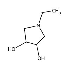 C[CH]N1CC(O)C(O)C1